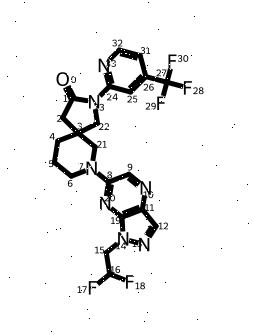 O=C1CC2(CCCN(c3cnc4cnn(CC(F)F)c4n3)C2)CN1c1cc(C(F)(F)F)ccn1